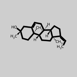 C/C=C1/CC[C@H]2[C@@H]3CC=C4C[C@@](C)(O)CC[C@]4(C)[C@H]3CC[C@]12C